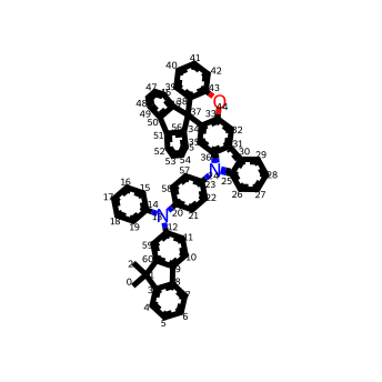 CC1(C)c2ccccc2-c2ccc(N(c3ccccc3)c3ccc(-n4c5ccccc5c5cc6c(cc54)C4(c5ccccc5O6)c5ccccc5-c5ccccc54)cc3)cc21